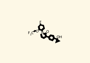 O=c1c(-c2ccc(C3(O)CC3)cc2)cccn1C1=CCC(F)C=C1OCC(F)(F)F